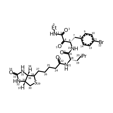 CCNC(=O)C(=O)[C@H](Cc1ccc(Br)cc1)NC(=O)[C@H](CC(C)C)NC(=O)CCCCC1SC[C@@H]2NC(=O)N[C@H]12